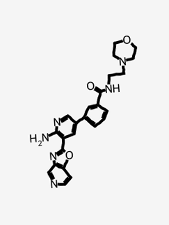 Nc1ncc(-c2cccc(C(=O)NCCN3CCOCC3)c2)cc1-c1nc2cnccc2o1